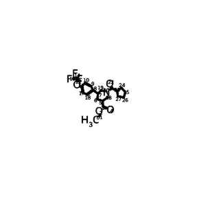 CCOC(=O)C1CC(c2ccc(OC(F)(F)F)cc2)CN(C(=O)C2CCCC2)C1